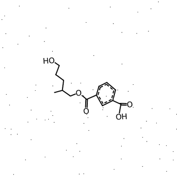 CC(CCCO)COC(=O)c1cccc(C(=O)O)c1